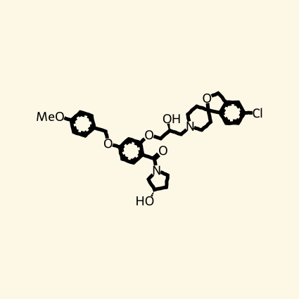 COc1ccc(COc2ccc(C(=O)N3CC[C@H](O)C3)c(OC[C@@H](O)CN3CCC4(CC3)OCc3cc(Cl)ccc34)c2)cc1